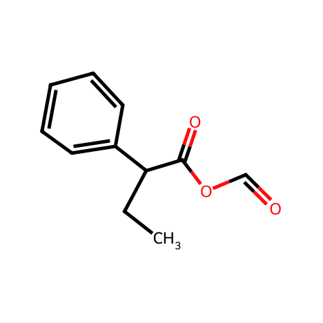 CCC(C(=O)OC=O)c1ccccc1